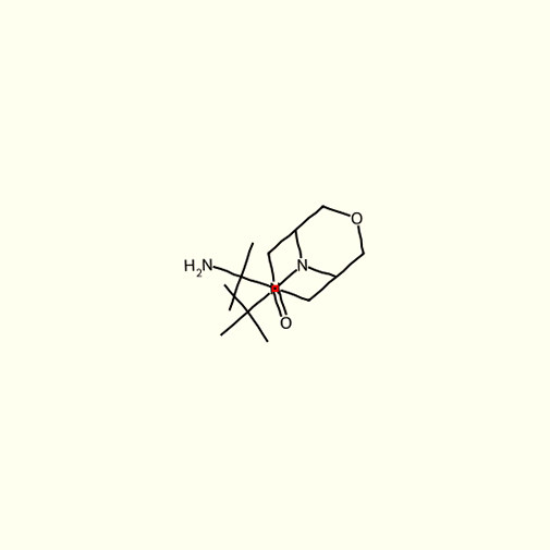 CC(C)(N)C(=O)N1C2COCC1CN(C(C)(C)C)C2